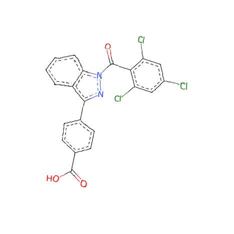 O=C(O)c1ccc(-c2nn(C(=O)c3c(Cl)cc(Cl)cc3Cl)c3ccccc23)cc1